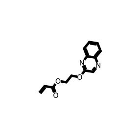 C=CC(=O)OCCOc1cnc2ccccc2n1